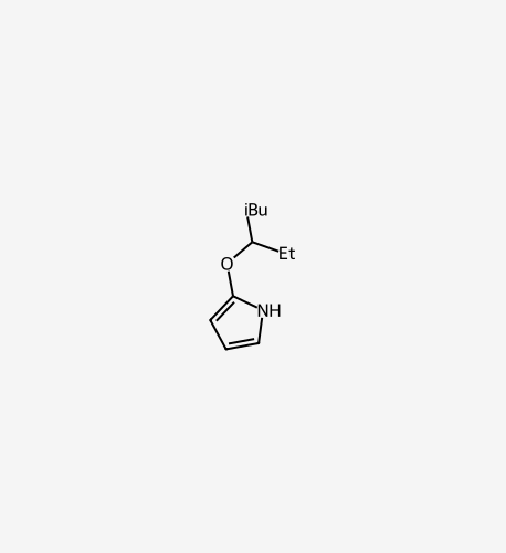 CCC(C)C(CC)Oc1ccc[nH]1